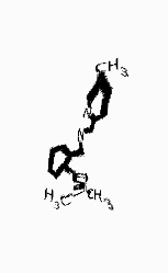 Cc1ccc(C=NCc2ccccc2O[SiH](C)C)nc1